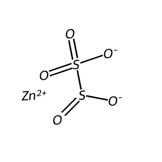 O=S([O-])S(=O)(=O)[O-].[Zn+2]